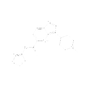 CN1CCC(c2cnc3ccc(C(=O)Nc4cc[nH]n4)[nH]c2-3)CC1